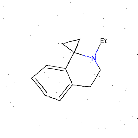 CCN1CCc2ccccc2C12CC2